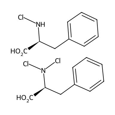 O=C(O)[C@H](Cc1ccccc1)N(Cl)Cl.O=C(O)[C@H](Cc1ccccc1)NCl